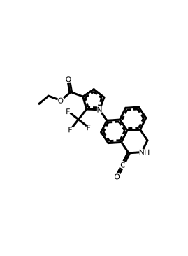 CCOC(=O)c1ccn(-c2ccc3c4c(cccc24)CNC3=C=O)c1C(F)(F)F